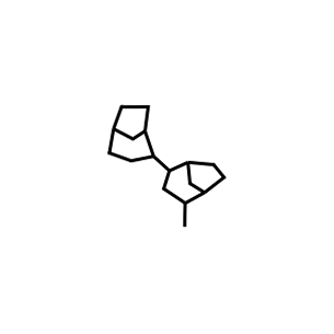 CC1CC(C2CCC3CCC2C3)C2CCC1C2